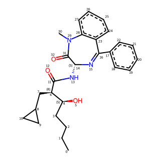 CCCC[C@H](O)[C@@H](CC1CC1)C(=O)N[C@H]1N=C(c2ccccc2)c2ccccc2N(C)C1=O